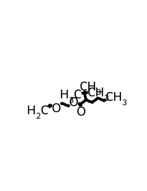 C=COCCOC(=O)C(CCCC)C(C)(C)C